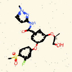 C[C@@H](CO)Oc1cc(Oc2ccc(S(C)(=O)=O)c(F)c2)cc(C(=O)Nc2ccn(C)n2)c1